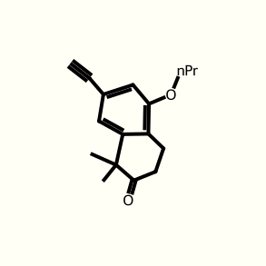 C#Cc1cc(OCCC)c2c(c1)C(C)(C)C(=O)CC2